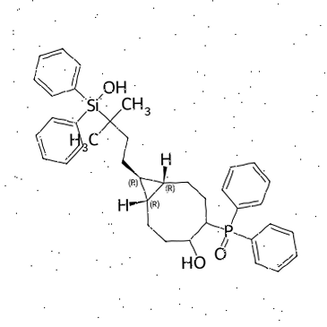 CC(C)(CC[C@@H]1[C@H]2CCC(O)C(P(=O)(c3ccccc3)c3ccccc3)CC[C@H]21)[Si](O)(c1ccccc1)c1ccccc1